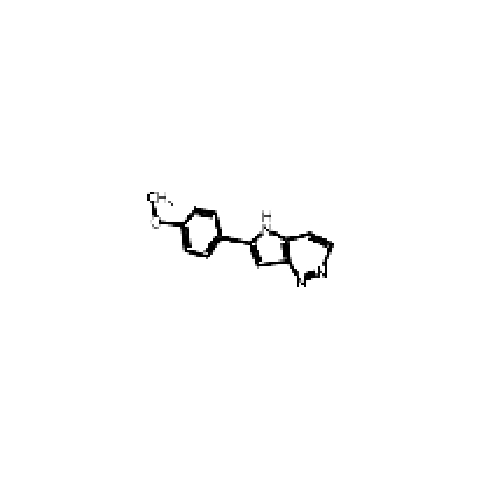 COc1[c]cc(-c2cc3nnccc3[nH]2)cc1